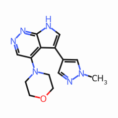 Cn1cc(-c2c[nH]c3nncc(N4CCOCC4)c23)cn1